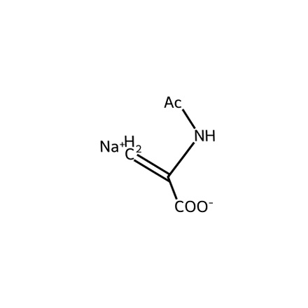 C=C(NC(C)=O)C(=O)[O-].[Na+]